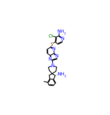 Cc1cccc2c1CC1(CCN(c3cnc4nc(Sc5ccnc(N)c5Cl)ccc4n3)CC1)[C@@H]2N